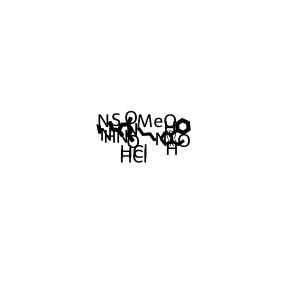 COc1cccc2c1[C@@H]1CN(CCCCn3c(=O)[nH]c4c(sc5nccnc54)c3=O)C[C@@H]1CO2.Cl.Cl